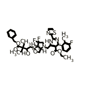 CCOC(=O)C1=C(CN2CC(F)(F)[C@@H]3[C@H]2CON3CC(O)C(CC)(CC)C(=O)OCc2ccccc2)NC(c2nccs2)=N[C@H]1c1cccc(F)c1C